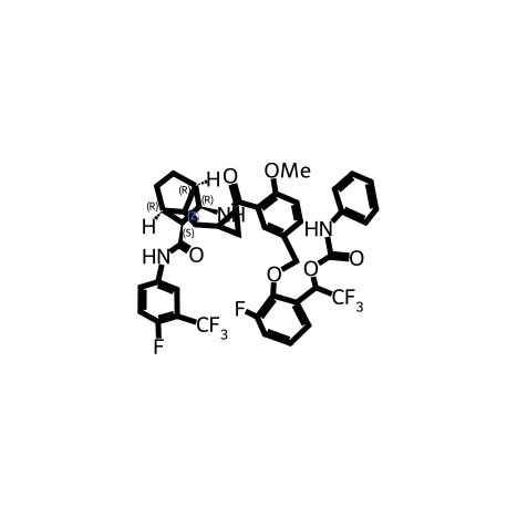 COc1ccc(COc2c(F)cccc2C(OC(=O)Nc2ccccc2)C(F)(F)F)cc1C(=O)N[C@H]1[C@@H](C(=O)Nc2ccc(F)c(C(F)(F)F)c2)[C@H]2CC[C@@H]1/C2=C\C1CC1